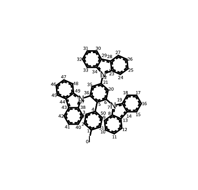 Ic1ccc(-c2c(-n3c4ccccc4c4ccccc43)cc(-n3c4ccccc4c4ccccc43)cc2-n2c3ccccc3c3ccccc32)cc1